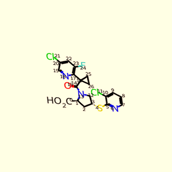 O=C(O)[C@@H]1C[C@@H](Sc2ncccc2Cl)CN1C(=O)C1(c2ncc(Cl)cc2F)CC1